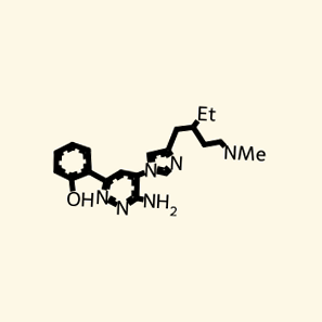 CCC(CCNC)Cc1cn(-c2cc(-c3ccccc3O)nnc2N)cn1